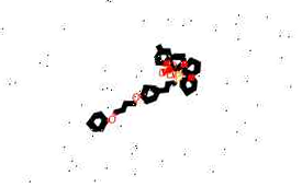 Cc1ccc(S(=O)(=O)OP(CCCc2ccc(OCCCCOc3ccccc3)cc2)(c2ccccc2)(c2ccccc2)c2ccccc2)cc1